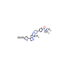 CNc1ccc(-c2ccnc3c2cc(CN2CCC(c4ccc(C(=O)N(C)C)cc4)CC2)n3C)nc1